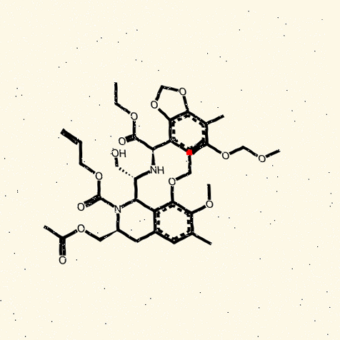 C=CCOC(=O)N1C([C@H](CO)N[C@@H](C(=O)OCC)c2cc(OCOC)c(C)c3c2OCO3)c2c(cc(C)c(OC)c2OCC=C)C[C@H]1COC(C)=O